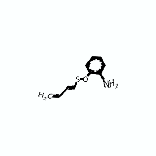 C=CC=CSOc1ccccc1N